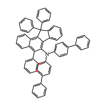 c1ccc(-c2ccc(N(c3ccc(-c4ccccc4)cc3)c3c4c(c5ccccc5c3-c3ccccc3)C(c3ccccc3)(c3ccccc3)c3ccccc3-4)cc2)cc1